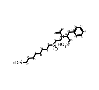 C=C(C)N(CC[S+]([O-])CCCCCCCCCCCCCCCCCC)C(Cc1ccccc1)CS(=O)(=O)O